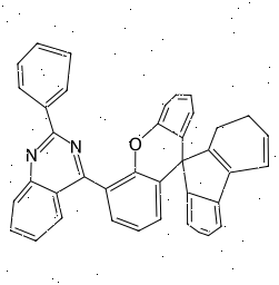 C1=CC2=C(CC1)C1(c3ccccc3Oc3c(-c4nc(-c5ccccc5)nc5ccccc45)cccc31)c1ccccc12